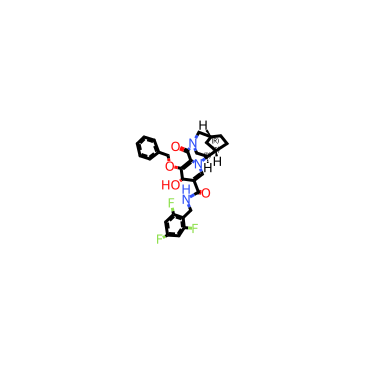 O=C(NCc1c(F)cc(F)cc1F)C1=CN2C(=C(OCc3ccccc3)C1O)C(=O)N1C[C@@H]3CC[C@@H](C3)[C@@H]2C1